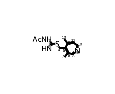 CC(=O)NC(=N)SCC1=C(C)C=NCC=C1C